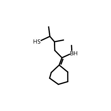 CBC(CC(C)C(C)S)=C1CCCCC1